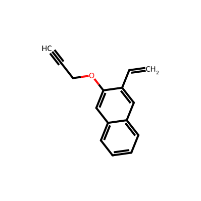 C#CCOc1cc2ccccc2cc1C=C